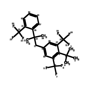 CC(C)(C)c1c(C(F)(F)F)cc(CC(C)(C)c2ccccc2C(F)(F)F)cc1C(F)(F)F